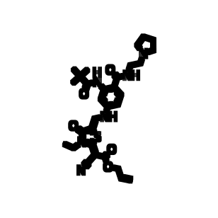 C=CCOC(=O)C(C#N)=c1sc(=CNc2ccc(C(=O)NCCN3CCCC3)c(NC(=O)C(C)(C)C)c2)c(=O)n1CC